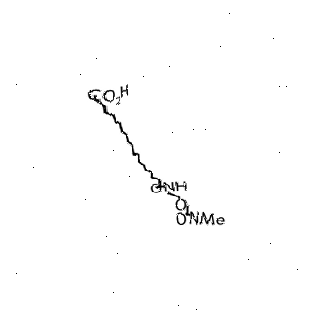 CNC(=O)COCCNC(=O)CCCCCCCCCCCCCCCCCCC(=O)O